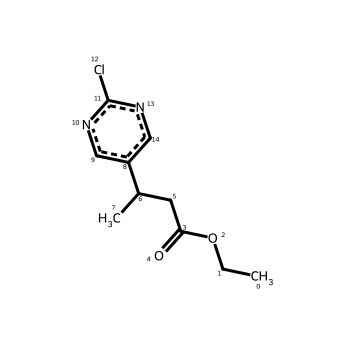 CCOC(=O)CC(C)c1cnc(Cl)nc1